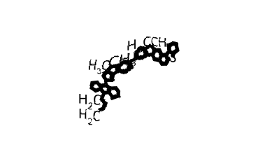 C=C/C=C\C(=C)c1c2ccccc2c(-c2ccc3c(c2)-c2ccc(-c4ccc5c(c4)-c4cc6ccc7sc8ccccc8c7c6cc4C5(C)C)cc2C3(C)C)c2ccccc12